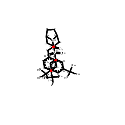 O=C(Cc1ccc(C(F)(F)F)cc1)N1C2CCC1CN(S(=O)(=O)c1cc(C(F)(F)F)cc(C(F)(F)F)c1)C2